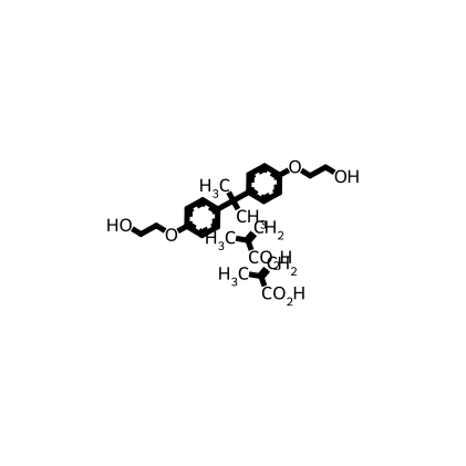 C=C(C)C(=O)O.C=C(C)C(=O)O.CC(C)(c1ccc(OCCO)cc1)c1ccc(OCCO)cc1